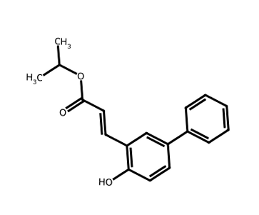 CC(C)OC(=O)C=Cc1cc(-c2ccccc2)ccc1O